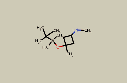 CNC1CC(C)(O[Si](C)(C)C(C)(C)C)C1